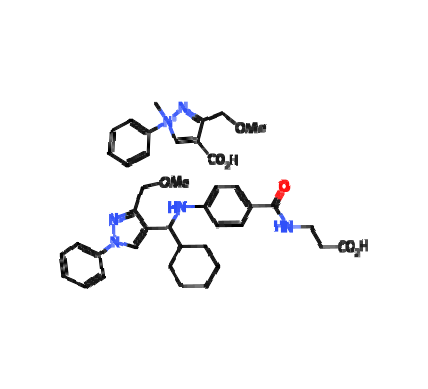 COCC1=N[N+](C)(c2ccccc2)C=C1C(=O)O.COCc1nn(-c2ccccc2)cc1C(Nc1ccc(C(=O)NCCC(=O)O)cc1)C1CCCCC1